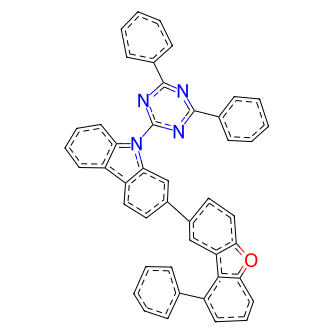 c1ccc(-c2nc(-c3ccccc3)nc(-n3c4ccccc4c4ccc(-c5ccc6oc7cccc(-c8ccccc8)c7c6c5)cc43)n2)cc1